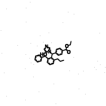 CCCc1cccc(C(O)c2ccccc2)c1C(c1ccc(C(=O)OCC)cc1)n1ccnc1